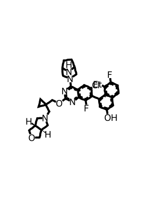 CCc1c(F)ccc2cc(O)cc(-c3c(Cl)cc4c(N5CC6CCC(C5)N6)nc(OCC5(CN6C[C@H]7COC[C@@H]7C6)CC5)nc4c3F)c12